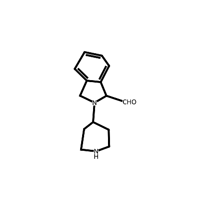 O=CC1c2ccccc2CN1C1CCNCC1